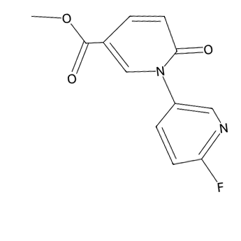 COC(=O)c1ccc(=O)n(-c2ccc(F)nc2)c1